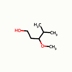 COC(CCO)C(C)C